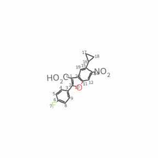 O=C(O)c1c(-c2ccc(F)cc2)oc2cc([N+](=O)[O-])c(C3CC3)cc12